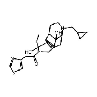 O=C(Cc1cscn1)N1CCC23CCN(CC4CC4)C(Cc4ccc(O)cc42)C3(O)CC1